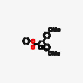 COc1ccc(C(C=C(C)C(=O)Oc2ccccc2)c2ccc(OC)cc2)cc1